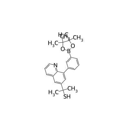 CC(C)(S)c1cc(-c2cccc(B3OC(C)(C)C(C)(C)O3)c2)c2ncccc2c1